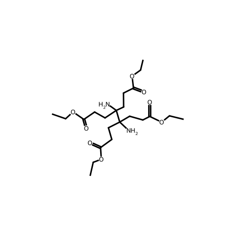 CCOC(=O)CCC(N)(CCC(=O)OCC)C(N)(CCC(=O)OCC)CCC(=O)OCC